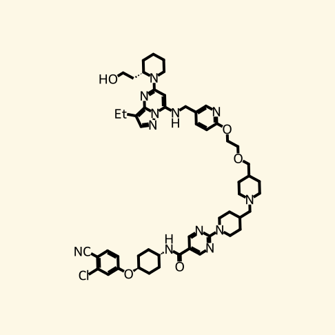 CCc1cnn2c(NCc3ccc(OCCOCC4CCN(CC5CCN(c6ncc(C(=O)N[C@H]7CC[C@H](Oc8ccc(C#N)c(Cl)c8)CC7)cn6)CC5)CC4)nc3)cc(N3CCCC[C@H]3CCO)nc12